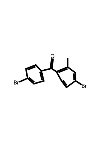 Cc1cc(Br)ccc1C(=O)c1ccc(Br)cc1